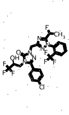 CC(F)c1nc(Cn2nc(-c3ccc(Cl)cc3)n(C[C@H](O)C(F)(F)F)c2=O)nn1-c1ccccc1C(F)(F)F